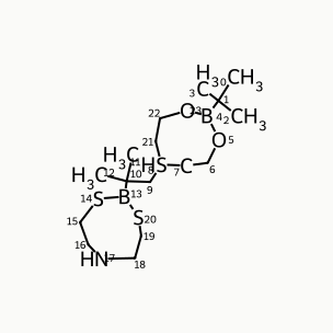 CC(C)(C)B1OCC[SH](CC(C)(C)B2SCCNCCS2)CCO1